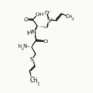 C/C=C/SC[C@H](N)C(=O)N[C@@H](C[S+]([O-])/C=C/C)C(=O)O